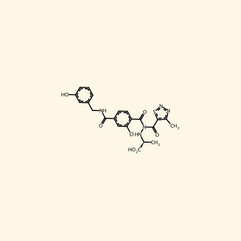 Cc1nnsc1C(=O)N(N[C@@H](C)C(=O)O)C(=O)c1ccc(C(=O)NCc2cccc(O)c2)cc1Cl